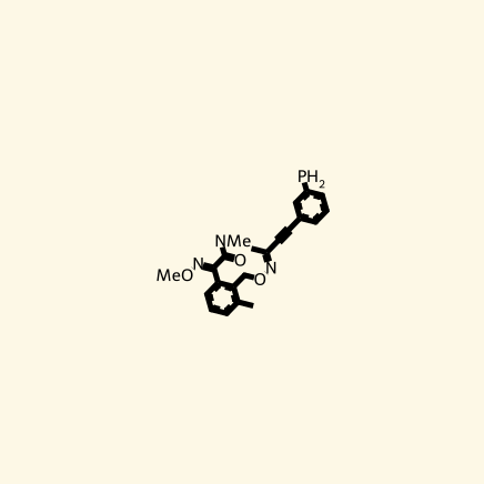 CNC(=O)/C(=N/OC)c1cccc(C)c1CO/N=C(\C)C#Cc1cccc(P)c1